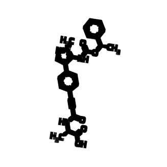 C[C@@H](NC(=O)C#Cc1ccc(-c2cnn(C)c2NC(=O)O[C@H](C)c2ccccc2)cc1)C(=O)O